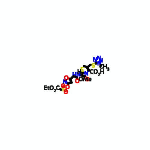 CCOC(=O)CS(=O)(=O)Oc1cc(CC(=O)N[C@]2(OC)C(=O)N3C(C(=O)O)=C(CSc4nnnn4C)CS[C@@H]32)on1